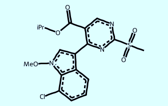 COn1cc(-c2nc(S(C)(=O)=O)ncc2C(=O)OC(C)C)c2cccc(Cl)c21